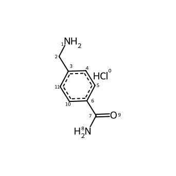 Cl.NCc1ccc(C(N)=O)cc1